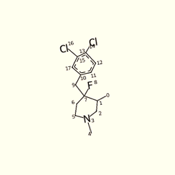 CC1CN(C)CCC1(F)Cc1ccc(Cl)c(Cl)c1